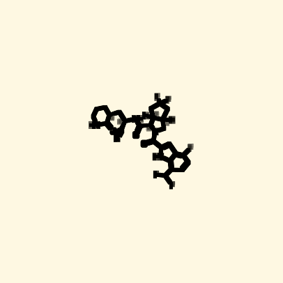 N#C[C@@H](C[C@@H]1CCCNC1=O)NC(=O)[C@H]1[C@@H]2CC(F)(F)C[C@@H]2CN1C(=O)c1cc2c(F)ccc(C(F)F)c2[nH]1